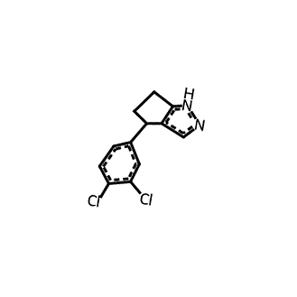 Clc1ccc(C2CCc3[nH]ncc32)cc1Cl